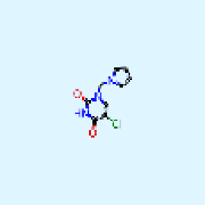 O=c1[nH]c(=O)n(Cn2cccc2)cc1Cl